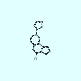 Clc1nc2ccc(-n3ccnc3)cc2n2cncc12